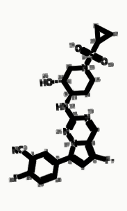 N#Cc1cc(-c2cc(F)c3cnc(N[C@@H]4CCN(S(=O)(=O)C5CC5)C[C@H]4O)nn23)ccc1F